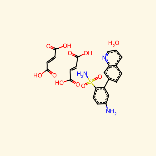 Nc1ccc(S(N)(=O)=O)c(-c2ccc3cccnc3c2)c1.O.O=C(O)/C=C/C(=O)O.O=C(O)/C=C/C(=O)O